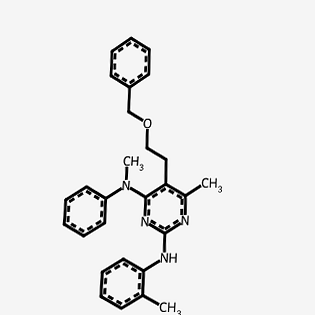 Cc1ccccc1Nc1nc(C)c(CCOCc2ccccc2)c(N(C)c2ccccc2)n1